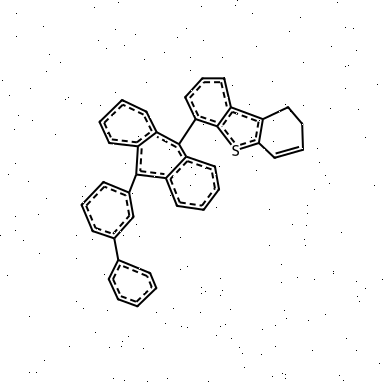 C1=Cc2sc3c(-c4c5ccccc5c(-c5cccc(-c6ccccc6)c5)c5ccccc45)cccc3c2CC1